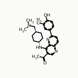 CC(=O)c1cnc2ccc(-c3ccc(O)c(C)c3)nc2c1N[C@H]1CC[C@H](CN(C)C)CC1